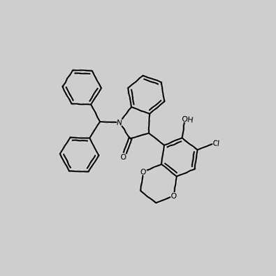 O=C1C(c2c(O)c(Cl)cc3c2OCCO3)c2ccccc2N1C(c1ccccc1)c1ccccc1